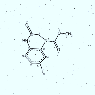 COC(=O)N1CC(=O)Nc2ccc(F)cc21